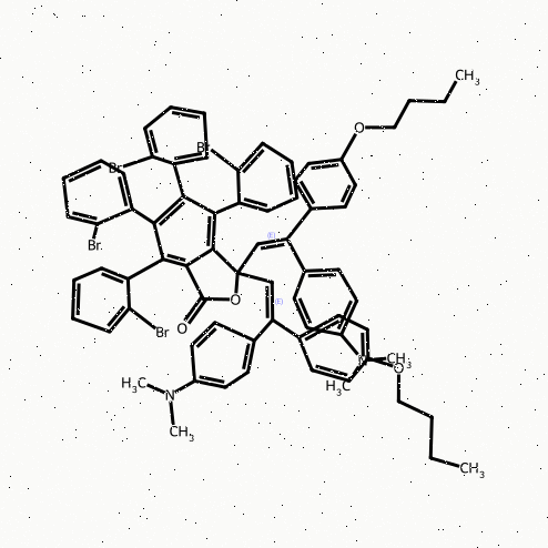 CCCCOc1ccc(/C(=C/C2(/C=C(/c3ccc(OCCCC)cc3)c3ccc(N(C)C)cc3)OC(=O)c3c(-c4ccccc4Br)c(-c4ccccc4Br)c(-c4ccccc4Br)c(-c4ccccc4Br)c32)c2ccc(N(C)C)cc2)cc1